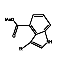 CCc1c[nH]c2cccc(C(=O)OC)c12